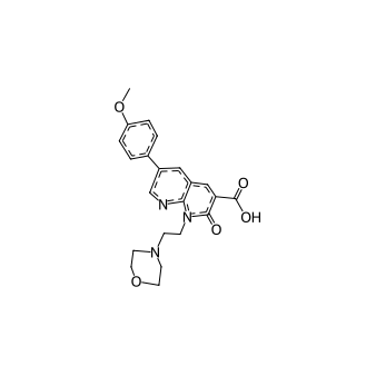 COc1ccc(-c2cnc3c(c2)cc(C(=O)O)c(=O)n3CCN2CCOCC2)cc1